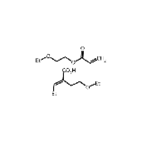 C=CC(=O)OCCOCC.CCC=C(CCOCC)C(=O)O